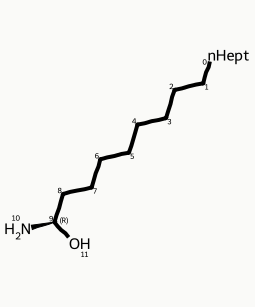 CCCCCCCCCCCCCCC[C@H](N)O